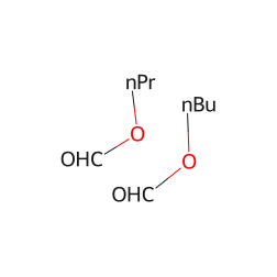 CCCCOC=O.CCCOC=O